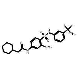 CNc1cc(NC(=O)CC2CCCCC2)ccc1S(=O)(=O)Nc1cccc(C(F)(P)I)c1